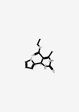 CCOC(=O)C1=C(C)NC(=O)NC1c1ccco1